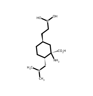 CN(C)C[C@@H]1CC[C@@H](CCB(O)O)C[C@]1(N)C(=O)O